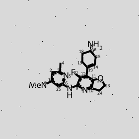 CNc1cc(C)nc(Nc2nc3c(c(C4=CC[C@@H](N)CC4)c2F)OCC3)c1